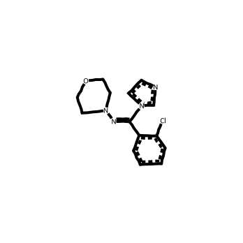 Clc1ccccc1C(=NN1CCOCC1)n1ccnc1